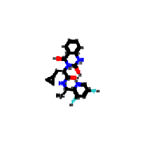 C[C@H](NC(=O)[C@H](CC1CC1)n1c(=O)[nH]c2ccccc2c1=O)c1ncc(F)cc1F